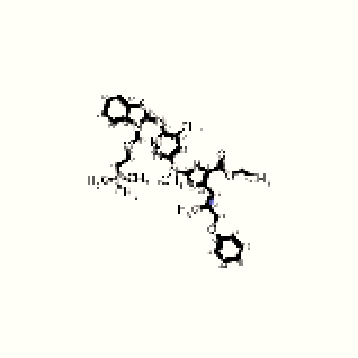 CCOC(=O)c1nc(N(C)c2cc(C)c(N=c3sc4ccccc4n3COCC[Si](C)(C)C)nn2)sc1/C=C(\C)COc1ccccc1